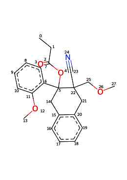 CCC(=O)OC1(c2ccccc2OC)Cc2ccccc2CC1(C#N)COC